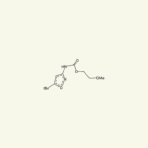 COCCOC(=O)Nc1cc(C(C)(C)C)on1